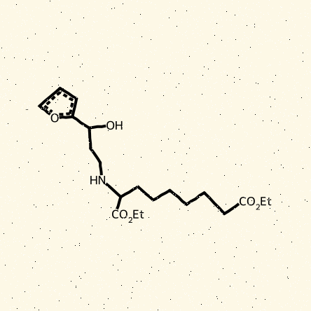 CCOC(=O)CCCCCCC(NCCC(O)c1ccco1)C(=O)OCC